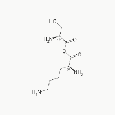 NCCCC[C@H](N)C(=O)OC(=O)[C@@H](N)CO